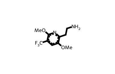 COc1cc(C(F)(F)F)c(OC)nc1CCN